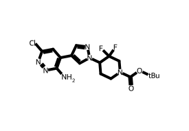 CC(C)(C)OC(=O)N1CCC(n2cc(-c3cc(Cl)nnc3N)cn2)C(F)(F)C1